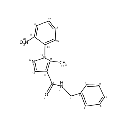 O=C(NCc1ccccc1)c1cnn(-c2ccccc2[N+](=O)[O-])c1C(F)(F)F